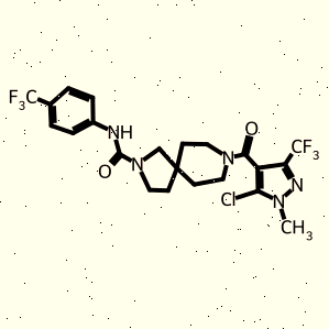 Cn1nc(C(F)(F)F)c(C(=O)N2CCC3(CCN(C(=O)Nc4ccc(C(F)(F)F)cc4)C3)CC2)c1Cl